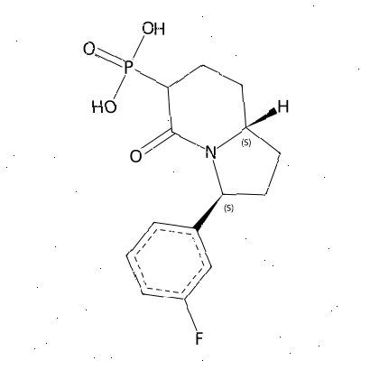 O=C1C(P(=O)(O)O)CC[C@@H]2CC[C@@H](c3cccc(F)c3)N12